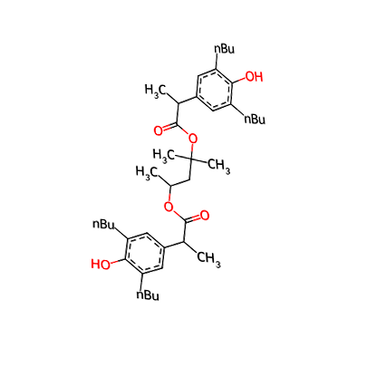 CCCCc1cc(C(C)C(=O)OC(C)CC(C)(C)OC(=O)C(C)c2cc(CCCC)c(O)c(CCCC)c2)cc(CCCC)c1O